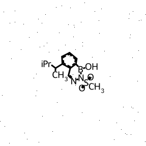 CC(C)C(C)c1cccc2c1C=NN(S(C)(=O)=O)B2O